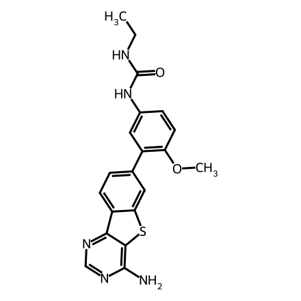 CCNC(=O)Nc1ccc(OC)c(-c2ccc3c(c2)sc2c(N)ncnc23)c1